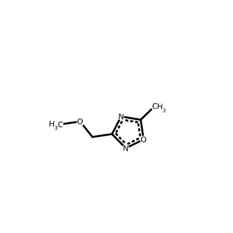 COCc1noc(C)n1